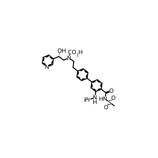 CC(C)Nc1cc(-c2ccc(CCN(C[C@@H](O)c3cccnc3)C(=O)O)cc2)ccc1C(=O)NS(C)(=O)=O